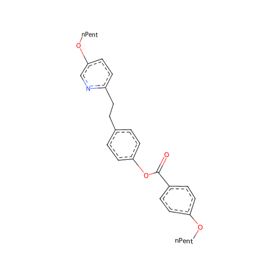 CCCCCOc1ccc(C(=O)Oc2ccc(CCc3ccc(OCCCCC)cn3)cc2)cc1